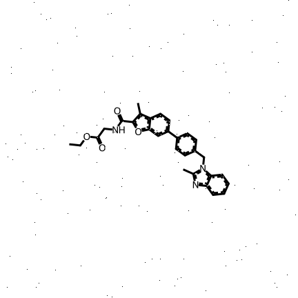 CCOC(=O)CNC(=O)c1oc2cc(-c3ccc(Cn4c(C)nc5ccccc54)cc3)ccc2c1C